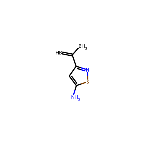 B=C(B)c1cc(N)sn1